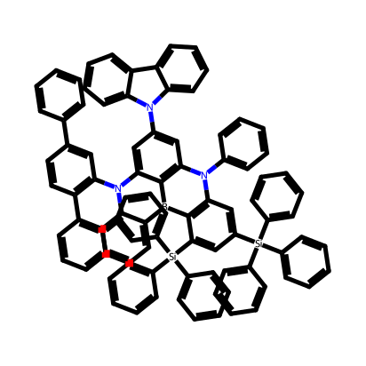 c1ccc(-c2ccc(-c3ccccc3)c(N3c4ccccc4B4c5c(cc(-n6c7ccccc7c7ccccc76)cc53)N(c3ccccc3)c3cc([Si](c5ccccc5)(c5ccccc5)c5ccccc5)cc([Si](c5ccccc5)(c5ccccc5)c5ccccc5)c34)c2)cc1